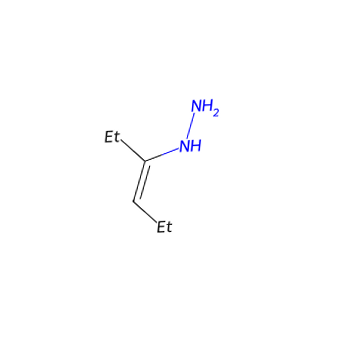 CCC=C(CC)NN